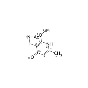 CC(=O)NCc1c(OC(C)C)[nH]c(C)cc1=O